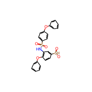 O=[SH](=O)c1ccc(Oc2ccccc2)c(NS(=O)(=O)c2ccc(Oc3ccccc3)cc2)c1